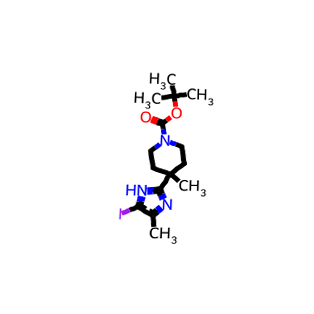 Cc1nc(C2(C)CCN(C(=O)OC(C)(C)C)CC2)[nH]c1I